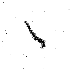 CCCCCCCCCCCCCC(=O)Oc1ccc(-c2ccc(C(=O)OCC(C)CC)cc2)cc1